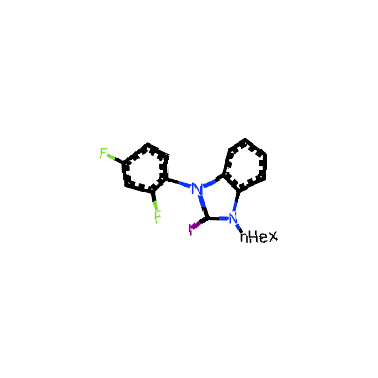 CCCCCCN1c2ccccc2N(c2ccc(F)cc2F)C1I